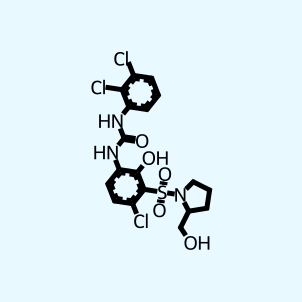 O=C(Nc1ccc(Cl)c(S(=O)(=O)N2CCCC2CO)c1O)Nc1cccc(Cl)c1Cl